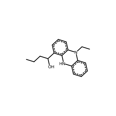 CCCC(O)c1cccc2c1Nc1ccccc1N2CC